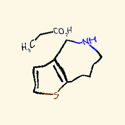 CC(=O)O.c1cc2c(s1)CCNC2